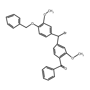 COc1cc(C(Br)c2ccc(C(=O)c3ccccc3)c(OC)c2)ccc1OCc1ccccc1